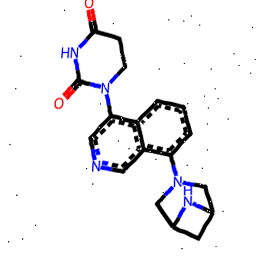 O=C1CCN(c2cncc3c(N4CC5CC(C4)N5)cccc23)C(=O)N1